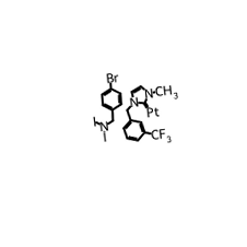 Brc1ccc(CN(I)I)cc1.Cn1ccn(Cc2cccc(C(F)(F)F)c2)[c]1=[Pt]